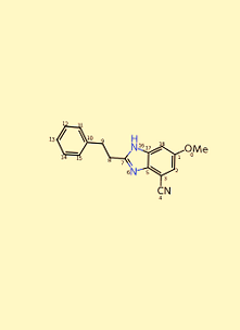 COc1cc(C#N)c2nc(CCc3ccccc3)[nH]c2c1